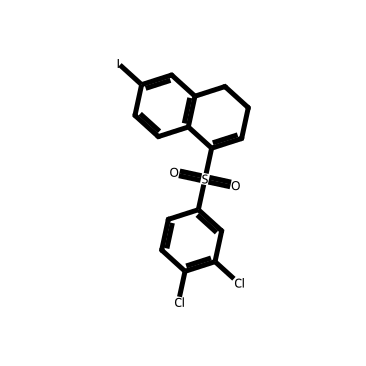 O=S(=O)(C1=CCCc2cc(I)ccc21)c1ccc(Cl)c(Cl)c1